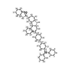 c1ccc(N(c2ccccc2)c2ccc(-c3ccc(-c4cc5c(c6ccccc46)-c4cc(C6=Nc7ccccc7C6)ccc4C5)cc3)cc2)cc1